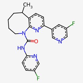 CC1CCCCN(C(=O)Nc2ccc(F)cn2)c2nc(-c3cncc(F)c3)ccc21